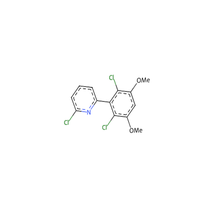 COc1cc(OC)c(Cl)c(-c2cccc(Cl)n2)c1Cl